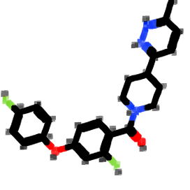 Cc1ccc(C2CCN(C(=O)c3ccc(Oc4ccc(F)cc4)cc3F)CC2)nn1